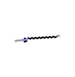 CCCCCCn1cc[n+](CCCCCCCCCCCCCCCCC(C)C)c1